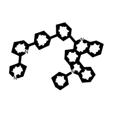 c1ccc(-n2c3ccccc3c3c4c(ccc32)c(-c2cccc(-c3ccc(-c5cccc(-c6ccncc6)n5)cc3)c2)nc2ccccc24)cc1